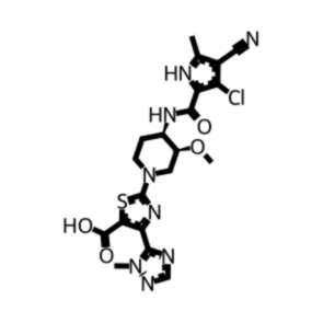 CO[C@H]1CN(c2nc(-c3ncnn3C)c(C(=O)O)s2)CC[C@H]1NC(=O)c1[nH]c(C)c(C#N)c1Cl